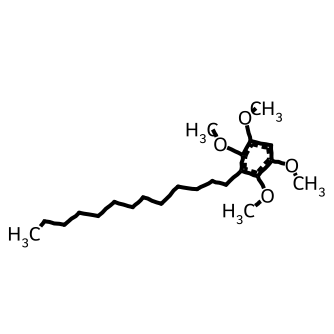 CCCCCCCCCCCCCc1c(OC)c(OC)cc(OC)c1OC